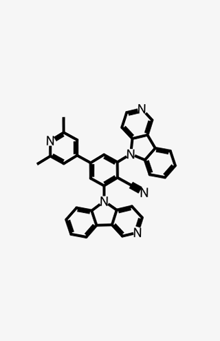 Cc1cc(-c2cc(-n3c4ccccc4c4cnccc43)c(C#N)c(-n3c4ccccc4c4cnccc43)c2)cc(C)n1